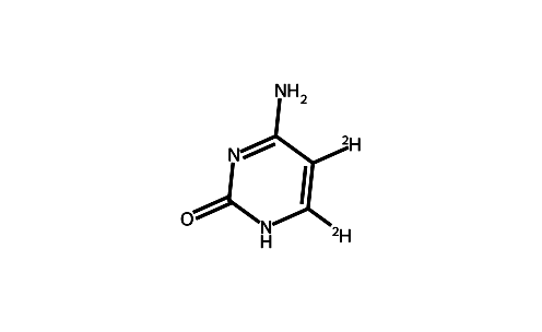 [2H]c1[nH]c(=O)nc(N)c1[2H]